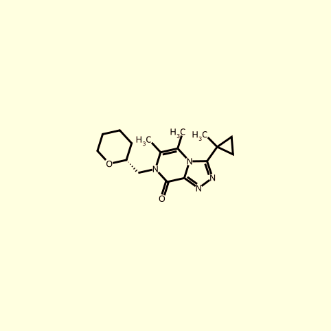 Cc1c(C)n2c(C3(C)CC3)nnc2c(=O)n1C[C@H]1CCCCO1